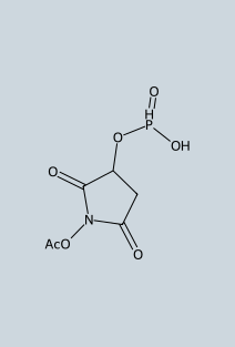 CC(=O)ON1C(=O)CC(O[PH](=O)O)C1=O